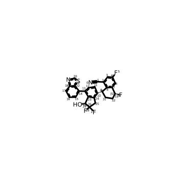 N#Cc1cc(F)cc2c1[C@@H](c1ccc(-c3cccc4ncsc34)c3c1CC(F)(F)[C@H]3O)CC[C@@H]2F